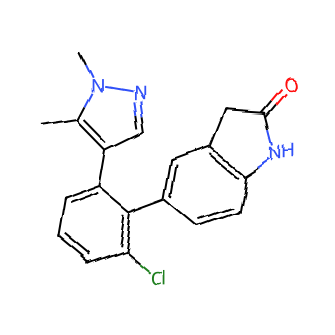 Cc1c(-c2cccc(Cl)c2-c2ccc3c(c2)CC(=O)N3)cnn1C